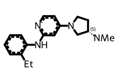 CCc1ccccc1Nc1cc(N2CC[C@H](NC)C2)ccn1